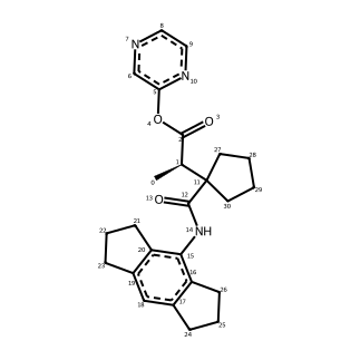 C[C@@H](C(=O)Oc1cnccn1)C1(C(=O)Nc2c3c(cc4c2CCC4)CCC3)CCCC1